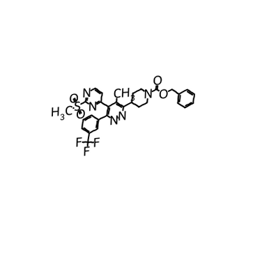 Cc1c(C2CCN(C(=O)OCc3ccccc3)CC2)nnc(-c2cccc(C(F)(F)F)c2)c1-c1ccnc(S(C)(=O)=O)n1